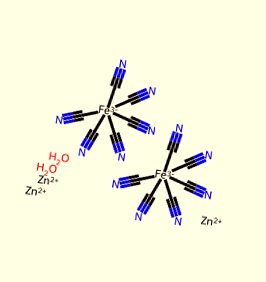 N#[C][Fe-3]([C]#N)([C]#N)([C]#N)([C]#N)[C]#N.N#[C][Fe-3]([C]#N)([C]#N)([C]#N)([C]#N)[C]#N.O.O.[Zn+2].[Zn+2].[Zn+2]